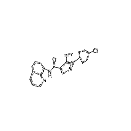 CCCc1c(C(=O)Nc2cccc3cccnc23)cnn1-c1ccc(Cl)cc1